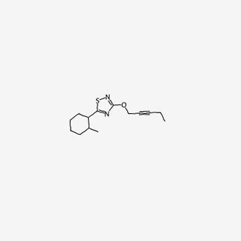 CCC#CCOc1nsc(C2CCCCC2C)n1